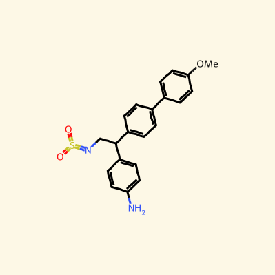 COc1ccc(-c2ccc(C(CN=S(=O)=O)c3ccc(N)cc3)cc2)cc1